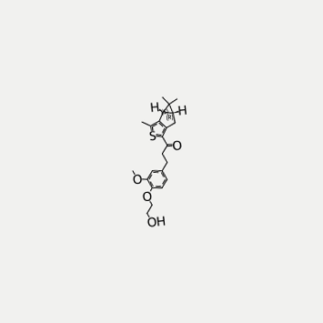 COc1cc(CCC(=O)c2sc(C)c3c2C[C@@H]2[C@H]3C2(C)C)ccc1OCCO